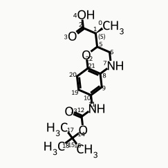 C[C@H](C(=O)O)C1CNc2cc(NC(=O)OC(C)(C)C)ccc2O1